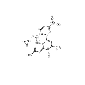 CN/C=C1\C(=N)C(c2cc([N+](=O)[O-])ccc2NCC2CC2)=CN(C)C1=O